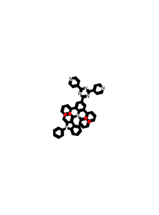 c1ccc(-c2cc(-c3nc(-c4ccncc4)nc(-c4ccncc4)n3)cc(-c3ccccc3)c2N(c2ccccc2)c2cccc3c2c2ccccc2n3-c2ccccc2)cc1